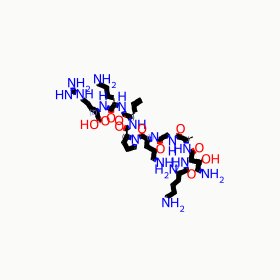 C=CC[C@H](NC(=O)[C@@H]1CCCN1C(=O)/C(CCCN)=N/C(=O)CNC(=O)[C@H](C)NC(=O)[C@@H](NC(=O)[C@@H](N)CCCCN)[C@@H](O)CN)C(=O)N[C@@H](CCCCN)C(=O)N/C(=C\CCNC(=N)N)C(=O)O